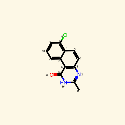 Cc1nc2ccc3c(Cl)cccc3c2c(=O)[nH]1